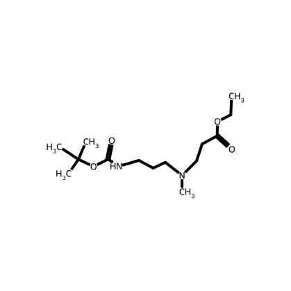 CCOC(=O)CCN(C)CCCNC(=O)OC(C)(C)C